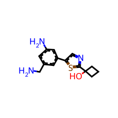 NCc1cc(N)cc(-c2cnc(C3(O)CCC3)s2)c1